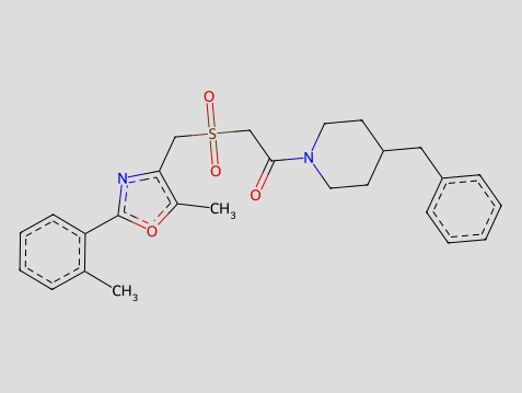 Cc1ccccc1-c1nc(CS(=O)(=O)CC(=O)N2CCC(Cc3ccccc3)CC2)c(C)o1